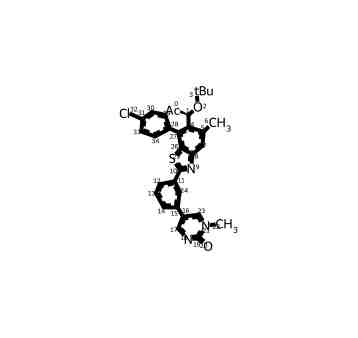 CC(=O)[C@@H](OC(C)(C)C)c1c(C)cc2nc(-c3cccc(-c4cnc(=O)n(C)c4)c3)sc2c1-c1ccc(Cl)cc1